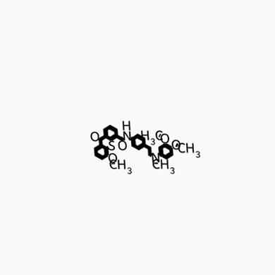 COc1ccc(N(C)CCc2ccc(NC(=O)c3cccc4c(=O)c5cccc(OC)c5sc34)cc2)cc1OC